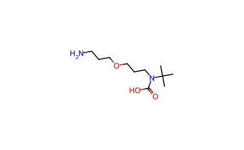 CC(C)(C)N(CCCOCCCN)C(=O)O